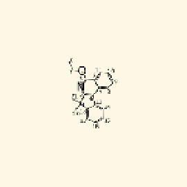 CCOc1nc2c(c3ccccc13)-c1ccccc1C2(C)C